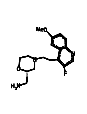 COc1ccc2ncc(F)c(CCN3CCO[C@@H](CN)C3)c2c1